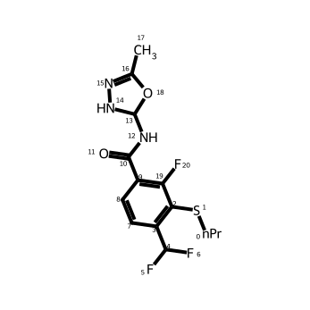 CCCSc1c(C(F)F)ccc(C(=O)NC2NN=C(C)O2)c1F